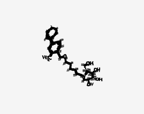 Cc1cc(-c2ccccc2)ccc1COCCCCCN1C[C@H](O)[C@@H](O)[C@H](O)[C@H]1CO